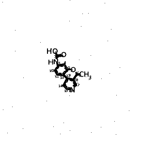 CC1Oc2cc(NC(=O)O)ccc2-c2ccncc21